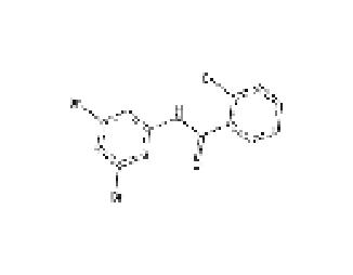 O=C(Nc1cc(Br)cc(Br)c1)c1ccccc1Cl